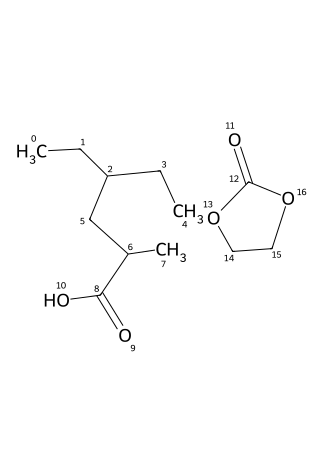 CCC(CC)CC(C)C(=O)O.O=C1OCCO1